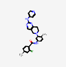 Cc1ccc(NC(=O)c2ccc(C(F)(F)F)cc2F)cc1N1CCc2nc(Nc3ccncc3)ncc2C1